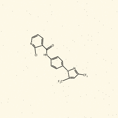 O=C(Nc1ccc(-n2nc(C(F)(F)F)cc2C(F)(F)F)cc1)c1cccnc1Cl